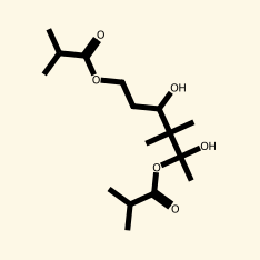 CC(C)C(=O)OCCC(O)C(C)(C)C(C)(O)OC(=O)C(C)C